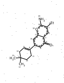 CCc1cc2c(=O)cc(C3=CCC(C)(C)CC3)cc-2oc1N